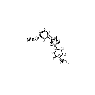 COc1cccc(-c2nnc(C3CCC(N)CC3)o2)c1